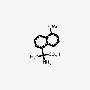 COc1cccc2c(C(C)(N)C(=O)O)cccc12